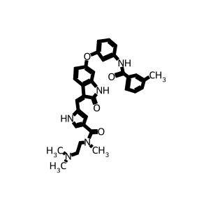 Cc1cccc(C(=O)Nc2cccc(Oc3ccc4c(c3)NC(=O)C4=Cc3cc(C(=O)N(C)CCN(C)C)c[nH]3)c2)c1